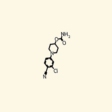 N#Cc1ccc(N2CCC(OC(N)=O)CC2)cc1Cl